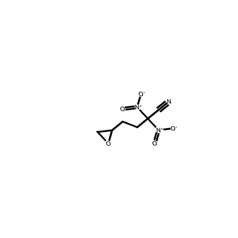 N#CC(CCC1CO1)([N+](=O)[O-])[N+](=O)[O-]